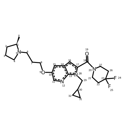 C[C@@H]1CCCN1CCCOc1cnc2c(c1)cc(C(=O)N1CCC(F)(F)CC1)n2CC1CC1